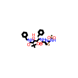 CC(C)(C)[C@@H](C(=O)NCc1ccccc1)[C@@H](O)[C@H](O)[C@H](Cc1ccccc1)NC(=O)c1csc(NS(C)(=O)=O)n1